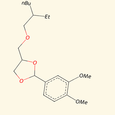 CCCCC(CC)COCC1COC(c2ccc(OC)c(OC)c2)O1